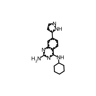 Nc1nc(NC2CCCCC2)c2ccc(-c3ccn[nH]3)cc2n1